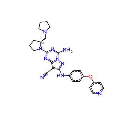 N#Cc1c(Nc2ccc(Oc3ccncc3)cc2)nn2c(N)nc(N3CCC[C@H]3CN3CCCC3)nc12